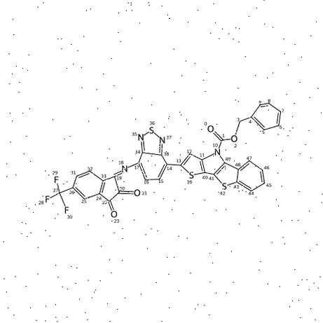 O=C(OCc1ccccc1)n1c2cc(-c3ccc(/N=c4\c(=O)c(=O)c5cc(C(F)(F)F)ccc45)c4nsnc34)sc2c2sc3ccccc3c21